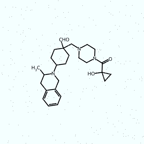 CC1Cc2ccccc2CN1C1CCC(C=O)(CN2CCN(C(=O)C3(O)CC3)CC2)CC1